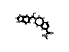 CNC(=O)c1ccc2c(c1)CCN([C@H](C)c1ccc3scnc3c1)CC2